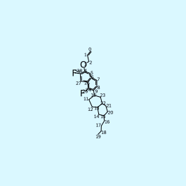 C=CCOc1cc2ccc(C3CCC4CC(CCCC)CCC4C3)c(F)c2cc1F